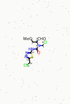 COCC(C=O)N(CCl)C(=O)Nc1nnc(CCl)s1